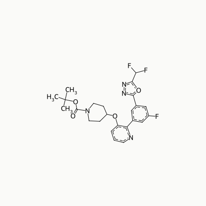 CC(C)(C)OC(=O)N1CCC(Oc2cccnc2-c2cc(F)cc(-c3nnc(C(F)F)o3)c2)CC1